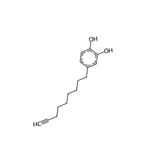 C#CCCCCCCCc1ccc(O)c(O)c1